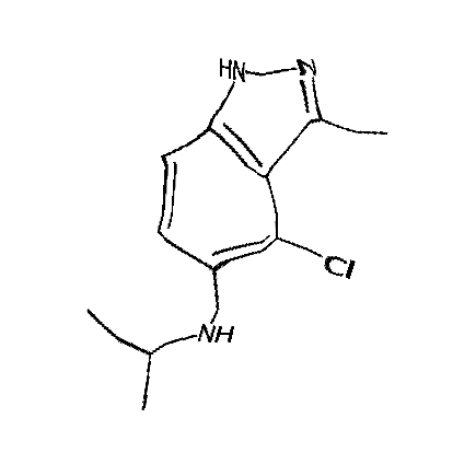 Cc1n[nH]c2ccc(NC(C)C)c(Cl)c12